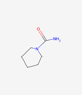 NC(=O)N1[CH]CCCC1